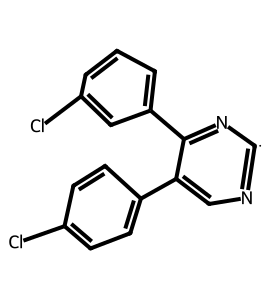 Clc1ccc(-c2cn[c]nc2-c2cccc(Cl)c2)cc1